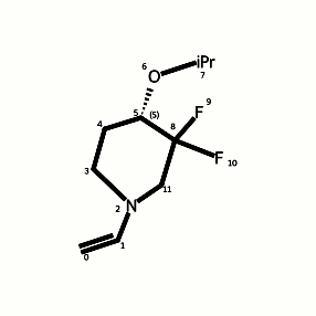 C=CN1CC[C@H](OC(C)C)C(F)(F)C1